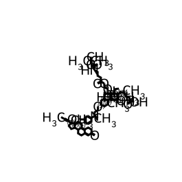 CC#C[C@@]1(O)CCC2C3CCC4=CC(=O)CCC4=C3[C@H](c3ccc(N(C)CCO[C@H]4CC[C@@]5(C)[C@@H](C4)C[C@@H](OCOC(=O)CCCNC(=O)OC(C)(C)C)[C@@H]4[C@@H]5C[C@H](O)[C@]5(C)[C@@H]([C@H](C)CCC(=O)O)CC[C@@H]45)cc3)C[C@@]21C